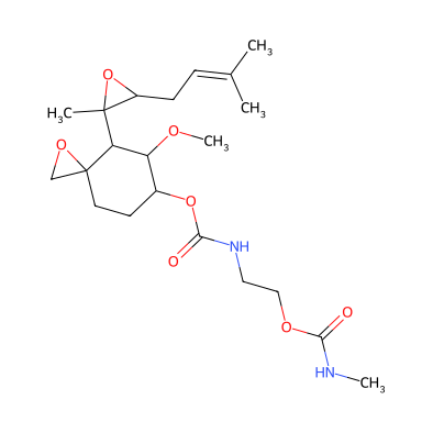 CNC(=O)OCCNC(=O)OC1CCC2(CO2)C(C2(C)OC2CC=C(C)C)C1OC